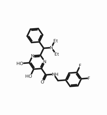 CCN(CC)C(c1ccccc1)c1nc(O)c(O)c(C(=O)NCc2ccc(F)c(F)c2)n1